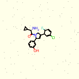 N[C@H](C(=O)N1CC(C2C=C(Cl)C=CC2F)=CC1c1cccc(O)c1)C1CC1